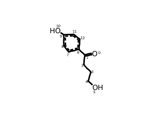 O=C(CCCO)c1ccc(O)cc1